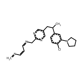 C=N/C=C\C=N/Cc1ncc(CC(C)c2ccc(Cl)c(N3CCCC3)c2)cn1